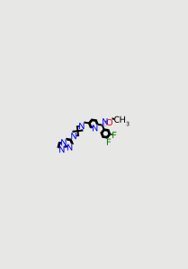 CCO/N=C(\c1ccc(F)c(F)c1)c1ccc(CN2CC3(C2)CN(c2cnc4nccn4c2)C3)cn1